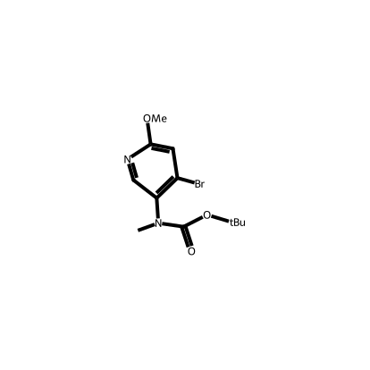 COc1cc(Br)c(N(C)C(=O)OC(C)(C)C)cn1